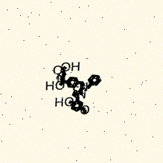 COc1ccc(O)c(-c2csc(N(Cc3ccccc3)Cc3ccc(C(O)N(C)CC(=O)O)cc3)n2)c1